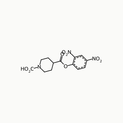 O=C(Oc1ccc([N+](=O)[O-])cc1[N+](=O)[O-])C1CCN(C(=O)O)CC1